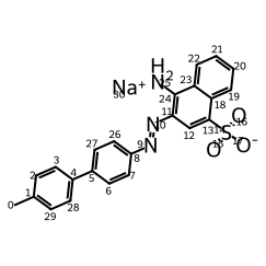 Cc1ccc(-c2ccc(N=Nc3cc(S(=O)(=O)[O-])c4ccccc4c3N)cc2)cc1.[Na+]